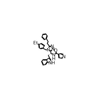 CCc1ccc(Cn2c(CCc3ccccc3)nnc2[C@@H](Cc2c[nH]c3ccccc23)NC(=O)c2ccncc2)cc1